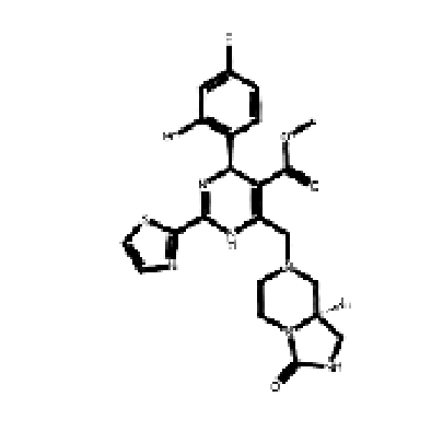 COC(=O)C1=C(CN2CCN3C(=O)NC[C@@H]3C2)NC(c2nccs2)=N[C@H]1c1ccc(F)cc1Br